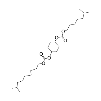 CC(C)CCCCCCCOC(=O)OC1CCC(OC(=O)OCCCCCC(C)C)CC1